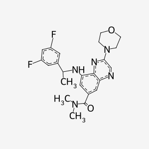 CC(Nc1cc(C(=O)N(C)C)cc2ncc(N3CCOCC3)nc12)c1cc(F)cc(F)c1